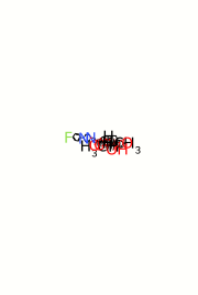 C[C@]12CCC(=O)C=C1CC[C@@H]1[C@@H]2[C@H](O)C[C@@]2(C)[C@H]1CC[C@]2(O)C(=O)CN1CCN(c2ccc(F)cc2)CC1